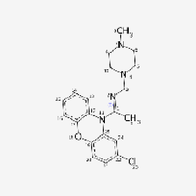 C/C(=N\CN1CCN(C)CC1)N1c2ccccc2Oc2ccc(Cl)cc21